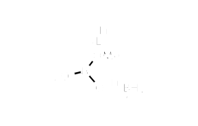 COB([O-])[O-].[BH4-].[Li+].[Li+].[Li+]